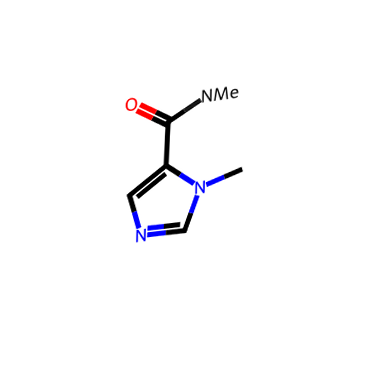 CNC(=O)c1cncn1C